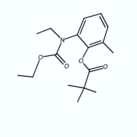 CCOC(=O)N(CC)c1cccc(C)c1OC(=O)C(C)(C)C